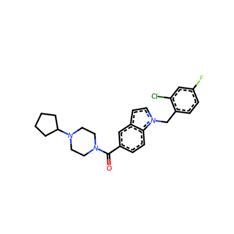 O=C(c1ccc2c(ccn2Cc2ccc(F)cc2Cl)c1)N1CCN(C2CCCC2)CC1